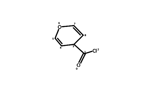 O=C(Cl)C1C=COC=C1